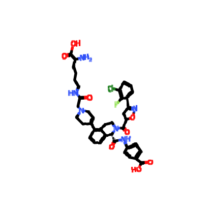 NC(CCCCNC(=O)CN1CC=C(c2cccc3c2CCN(C(=O)C2CC(c4cccc(Cl)c4F)=NO2)[C@@H]3C(=O)Nc2ccc(C(=O)O)cc2)CC1)C(=O)O